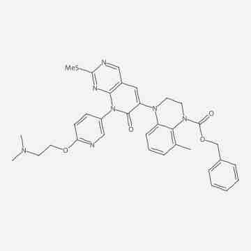 CSc1ncc2cc(N3CCN(C(=O)OCc4ccccc4)c4c(C)cccc43)c(=O)n(-c3ccc(OCCN(C)C)nc3)c2n1